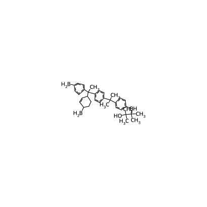 Bc1ccc(C(C)(c2ccc(C(C)(C)c3ccc(BC(C)(C)C(C)(C)O)cc3)cc2)C2C=CC(B)CC2)cc1